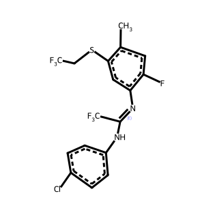 Cc1cc(F)c(/N=C(/Nc2ccc(Cl)cc2)C(F)(F)F)cc1SCC(F)(F)F